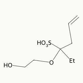 [CH2]CC(CC=C)(OCCO)S(=O)(=O)O